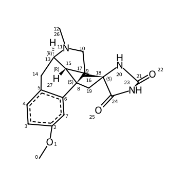 COc1ccc2c(c1)[C@]13CCN(C)[C@H](C2)[C@@H]1CC[C@@]1(C3)NC(=O)NC1=O